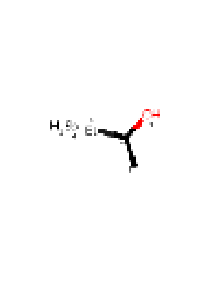 CCC(C)O.[SbH3]